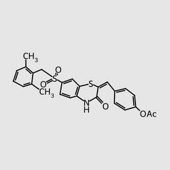 CC(=O)Oc1ccc(C=C2Sc3cc(S(=O)(=O)Cc4c(C)cccc4C)ccc3NC2=O)cc1